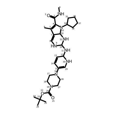 CNC(=O)C1=C(C)C2=CNC(NC3C=CC(N4CCN(C(=O)OC(C)(C)C)CC4)=CN3)NC2N1C1CCCC1